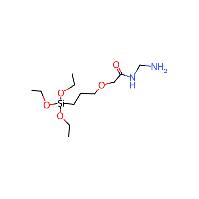 CCO[Si](CCCOCC(=O)NCN)(OCC)OCC